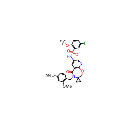 COc1ccc(CN2C(=O)c3cc(NS(=O)(=O)c4cc(F)ccc4OC(F)(F)F)cnc3OCC23CC3)c(OC)c1